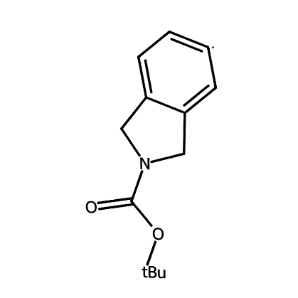 CC(C)(C)OC(=O)N1Cc2c[c]ccc2C1